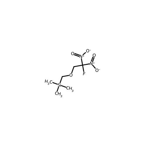 C[Si](C)(C)COCC(F)([N+](=O)[O-])[N+](=O)[O-]